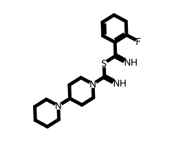 N=C(SC(=N)N1CCC(N2CCCCC2)CC1)C1=C(F)CCC=C1